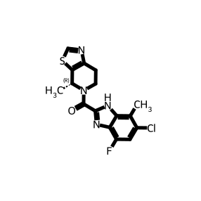 Cc1c(Cl)cc(F)c2nc(C(=O)N3CCc4ncsc4[C@H]3C)[nH]c12